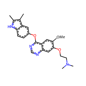 COc1cc2c(Oc3ccc4[nH]c(C)c(C)c4c3)ncnc2cc1OCCN(C)C